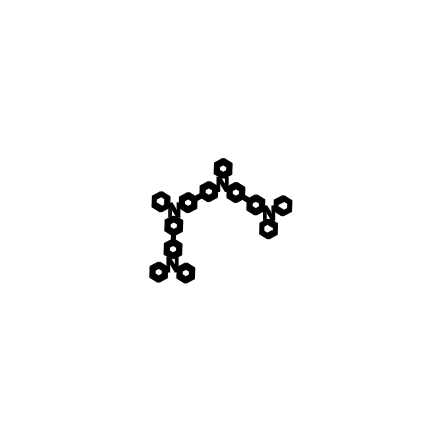 C1=CCCC(N(C2=CCCC=C2)c2ccc(-c3ccc(N(c4ccccc4)c4ccc(-c5ccc(N(C6=CCCC=C6)c6ccc(-c7ccc(N(c8ccccc8)c8ccccc8)cc7)cc6)cc5)cc4)cc3)cc2)=C1